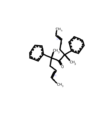 C/C=C/CC(C)(C(=O)C(C)(C/C=C/C)c1ccccc1)c1ccccc1